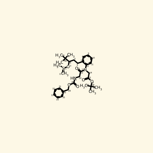 C[SiH](C)OC(CCc1ccccc1N(CC(=O)OC(C)(C)C)C(=O)CNC(=O)OCc1ccccc1)C(C)(C)C